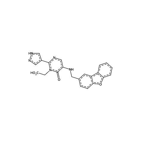 O=C(O)Cn1c(-c2cn[nH]c2)ncc(NCc2ccc3oc4ccccc4c3c2)c1=O